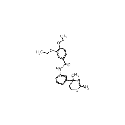 CCOc1ccc(C(=O)Nc2cccc(C3(C)CCSC(N)=N3)c2)cc1OCC